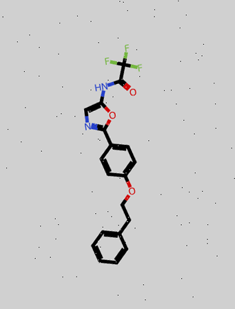 O=C(Nc1cnc(-c2ccc(OCCc3ccccc3)cc2)o1)C(F)(F)F